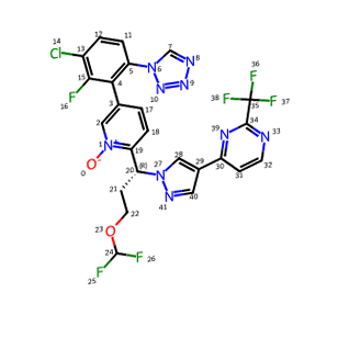 [O-][n+]1cc(-c2c(-n3cnnn3)ccc(Cl)c2F)ccc1[C@@H](CCOC(F)F)n1cc(-c2ccnc(C(F)(F)F)n2)cn1